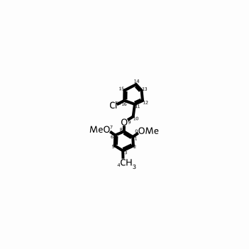 COc1cc(C)cc(OC)c1OCc1ccccc1Cl